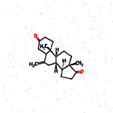 C=C1C[C@@H]2[C@@H](CC[C@]3(C)C(=O)CC[C@@H]23)[C@@]2(C)CCC(=O)CC12